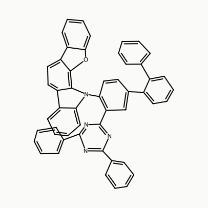 c1ccc(-c2nc(-c3ccccc3)nc(-c3cc(-c4ccccc4-c4ccccc4)ccc3-n3c4ccccc4c4ccc5c6ccccc6oc5c43)n2)cc1